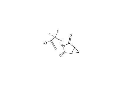 O=C(O)C(F)(F)F.O=C1NC(=O)C2CC12